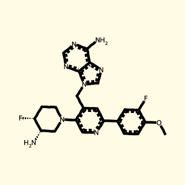 COc1ccc(-c2cc(Cn3cnc4c(N)ncnc43)c(N3CC[C@@H](F)[C@@H](N)C3)cn2)cc1F